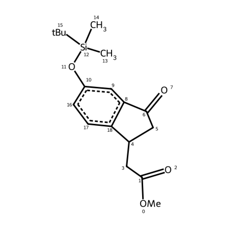 COC(=O)CC1CC(=O)c2cc(O[Si](C)(C)C(C)(C)C)ccc21